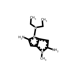 CCN(CC)n1c(N)cc2c1cc(N)n2C